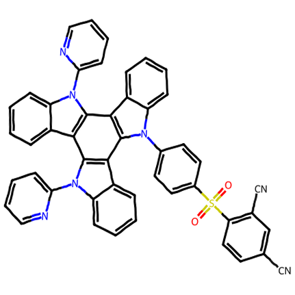 N#Cc1ccc(S(=O)(=O)c2ccc(-n3c4ccccc4c4c3c3c5ccccc5n(-c5ccccn5)c3c3c5ccccc5n(-c5ccccn5)c43)cc2)c(C#N)c1